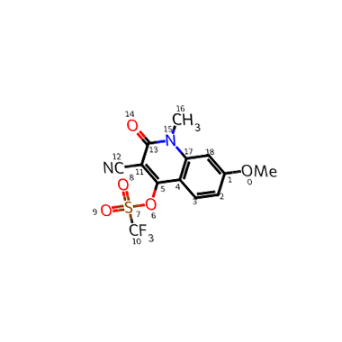 COc1ccc2c(OS(=O)(=O)C(F)(F)F)c(C#N)c(=O)n(C)c2c1